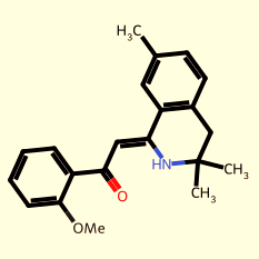 COc1ccccc1C(=O)C=C1NC(C)(C)Cc2ccc(C)cc21